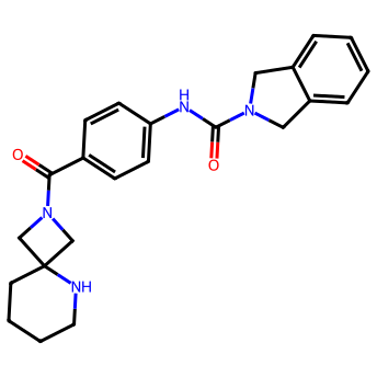 O=C(Nc1ccc(C(=O)N2CC3(CCCCN3)C2)cc1)N1Cc2ccccc2C1